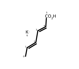 CC=CC=CC(=O)O.[K]